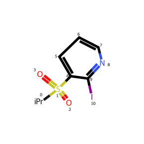 CC(C)S(=O)(=O)c1cccnc1I